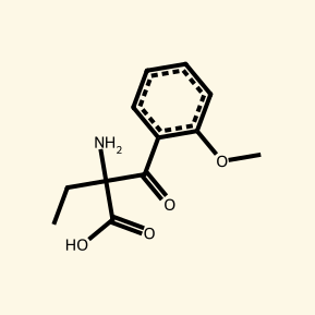 CCC(N)(C(=O)O)C(=O)c1ccccc1OC